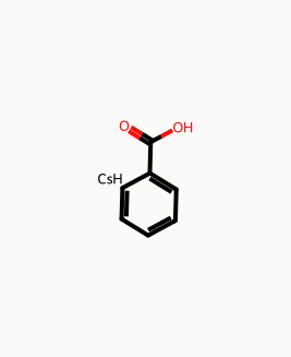 O=C(O)c1ccccc1.[CsH]